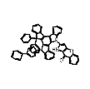 O=c1c2ccccc2oc2cc(-n3c4ccccc4c4c5c(c6c(c7ccccc7n6-c6ccc(-c7ccccc7)cc6)c43)C(c3ccccc3)(c3ccccc3)c3ccccc3-5)[nH]c12